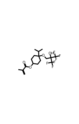 C=C(C)C(=O)OC1CCC(OCC(O)(C(F)(F)F)C(F)(F)F)(C(C)C)CC1